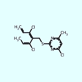 C=C/C(Cl)=C(CSc1nc(C)cc(Cl)n1)\C(Cl)=C/C